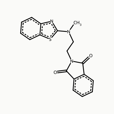 CN(CCN1C(=O)c2ccccc2C1=O)c1nc2ccccc2s1